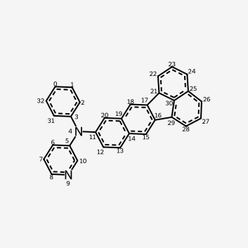 c1ccc(N(c2cccnc2)c2ccc3cc4c(cc3c2)-c2cccc3cccc-4c23)cc1